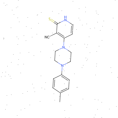 Cc1ccc(N2CCN(c3cc[nH]c(=S)c3C#N)CC2)cc1